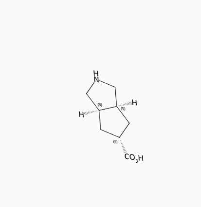 O=C(O)[C@@H]1C[C@H]2CNC[C@H]2C1